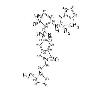 Cc1ccsc1CC(C)Nc1cc[nH]c(=O)c1-c1nc2cc3c(cc2[nH]1)CN(CCN1CCCC1C)C3=O